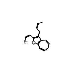 C/C=C\Cc1c(/C=C\CC)oc2c1C=CCC=C2